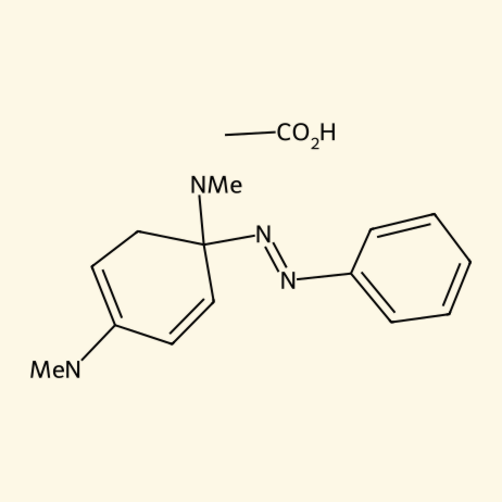 CC(=O)O.CNC1=CCC(N=Nc2ccccc2)(NC)C=C1